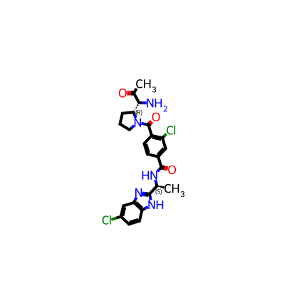 CC(=O)C(N)[C@H]1CCCN1C(=O)c1ccc(C(=O)N[C@@H](C)c2nc3cc(Cl)ccc3[nH]2)cc1Cl